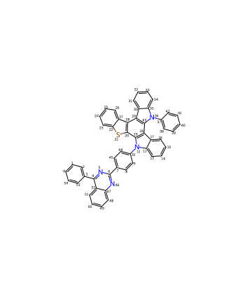 c1ccc(-c2nc(-c3ccc(-n4c5ccccc5c5c4c4sc6ccccc6c4c4c6ccccc6n(-c6ccccc6)c45)cc3)nc3ccccc23)cc1